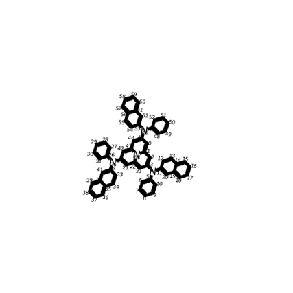 C1=C2C=C(N(c3ccccc3)c3ccc4ccccc4c3)C=C3C=C(N(c4ccccc4)c4ccc5ccccc5c4)C=C(C=C1N(c1ccccc1)c1ccc4ccccc4c1)N23